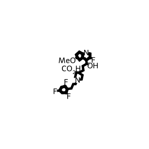 COc1ccc2ncc(F)c([C@@H](O)CCC3(C(=O)O)CCN(CCCc4c(F)cc(F)cc4F)CC3)c2c1